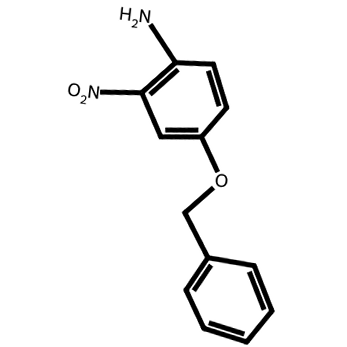 Nc1ccc(OCc2ccccc2)cc1[N+](=O)[O-]